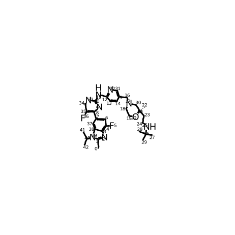 Cc1nc2c(F)cc(-c3nc(Nc4ccc(CN5CCO[C@](C)(CCNC(C)(C)C)C5)cn4)ncc3F)cc2n1C(C)C